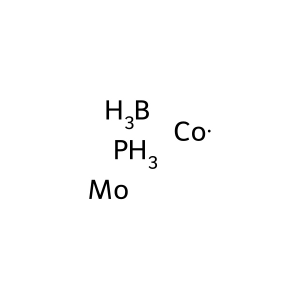 B.P.[Co].[Mo]